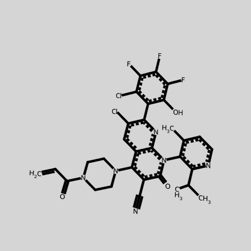 C=CC(=O)N1CCN(c2c(C#N)c(=O)n(-c3c(C)ccnc3C(C)C)c3nc(-c4c(O)c(F)c(F)c(F)c4Cl)c(Cl)cc23)CC1